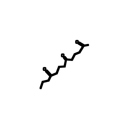 CCCC(=O)CCCC(=O)CCCC(C)=O